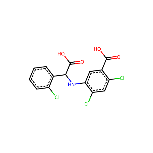 O=C(O)c1cc(NC(C(=O)O)c2ccccc2Cl)c(Cl)cc1Cl